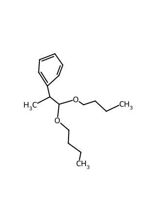 CCCCOC(OCCCC)C(C)c1ccccc1